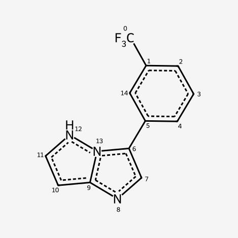 FC(F)(F)c1cccc(-c2cnc3cc[nH]n23)c1